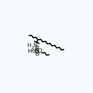 CCCCCCCCCCCC(CCCC)C(C)(C)N.CCCCOS(=O)(=O)O